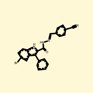 N#Cc1ccc(C=NNC(=O)c2[nH]c3ccc(Br)cc3c2-c2ccccc2)cc1